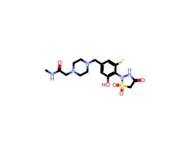 CNC(=O)CN1CCN(Cc2cc(O)c(N3NC(=O)CS3(=O)=O)c(F)c2)CC1